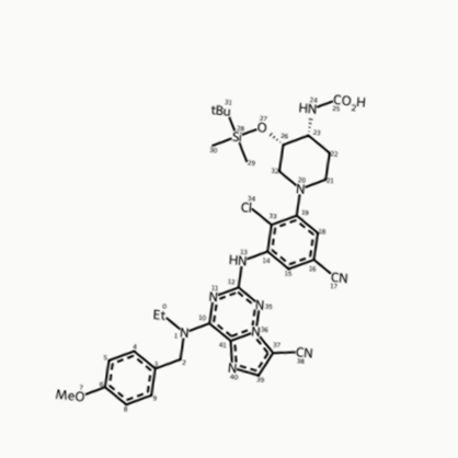 CCN(Cc1ccc(OC)cc1)c1nc(Nc2cc(C#N)cc(N3CC[C@@H](NC(=O)O)[C@@H](O[Si](C)(C)C(C)(C)C)C3)c2Cl)nn2c(C#N)cnc12